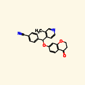 Cc1cnccc1C(Oc1ccc2c(c1)OCCC2=O)c1ccc(C#N)cc1